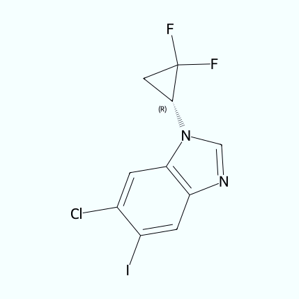 FC1(F)C[C@H]1n1cnc2cc(I)c(Cl)cc21